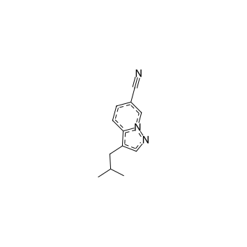 CC(C)Cc1cnn2cc(C#N)ccc12